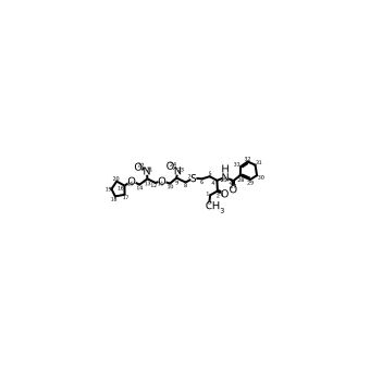 CCC(=O)C(CCSCC(COCC(COC1CCCC1)N=O)N=O)NC(=O)C1=CCCC=C1